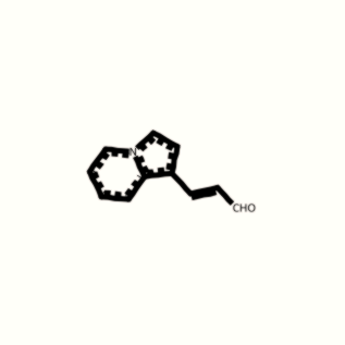 O=CC=Cc1ccn2ccccc12